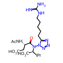 CC(=O)N[C@@H](CC(=O)O)C(=O)N([C@H](C(=O)O)C(C)C)n1nnnc1CCCCCNC(=N)N